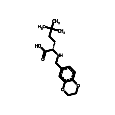 CC(C)(C)CC[C@H](NCc1ccc2c(c1)OCCO2)C(=O)O